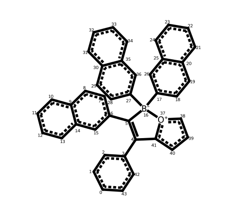 c1ccc(C2=C(c3ccc4ccccc4c3)[B-](c3ccc4ccccc4c3)(c3ccc4ccccc4c3)[o+]3cccc32)cc1